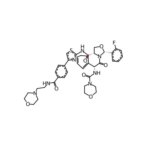 O=C(NCCN1CCOCC1)c1ccc(-c2csc(NC(=O)[C@@H]3CO[C@H](c4ccccc4F)N3C(=O)[C@H](NC(=O)N3CCOCC3)C3=CC=CCC3)n2)cc1